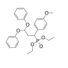 CCOP(=O)(OCC)C(CC(Oc1ccccc1)Oc1ccccc1)c1ccc(OC)cc1